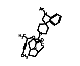 CC#CC(C)OC(=O)N1C2CCC(N3CCC4(CC3)CN(C(C)=O)c3ccccc34)CCC1CC2